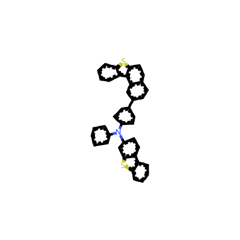 c1ccc(N(c2ccc(-c3ccc4ccc5sc6ccccc6c5c4c3)cc2)c2ccc3c(c2)sc2ccccc23)cc1